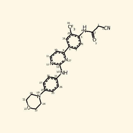 N#CCC(=O)Nc1ccc(-c2ccnc(Nc3ccc(N4CCOCC4)cc3)n2)cc1C(F)(F)F